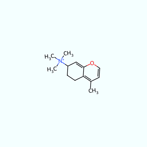 CC1=C2CCC([N+](C)(C)C)C=C2OC=C1